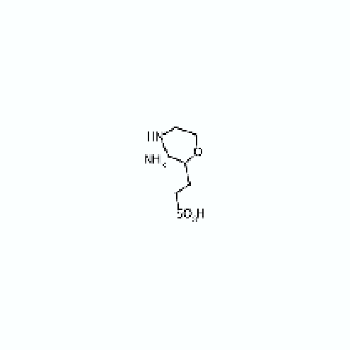 N.O=S(=O)(O)CCC1CNCCO1